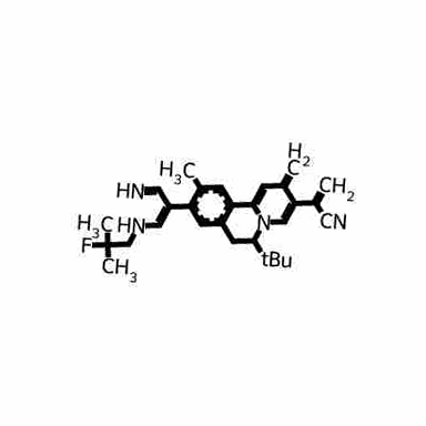 C=C(C#N)C1=CN2C(=CC1=C)c1cc(C)c(/C(C=N)=C/NCC(C)(C)F)cc1CC2C(C)(C)C